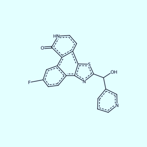 O=c1[nH]ccc2c3sc(C(O)c4cccnc4)nc3c3ccc(F)cc3c12